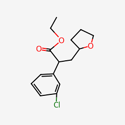 CCOC(=O)C(CC1CCCO1)c1cccc(Cl)c1